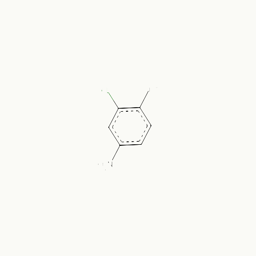 CC(C)c1ccc([N+](=O)[O-])cc1Cl